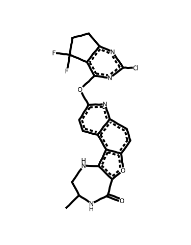 CC1CNc2c(oc3ccc4nc(Oc5nc(Cl)nc6c5C(F)(F)CC6)ccc4c23)C(=O)N1